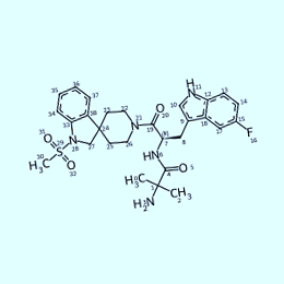 CC(C)(N)C(=O)N[C@H](Cc1c[nH]c2ccc(F)cc12)C(=O)N1CCC2(CC1)CN(S(C)(=O)=O)c1ccccc12